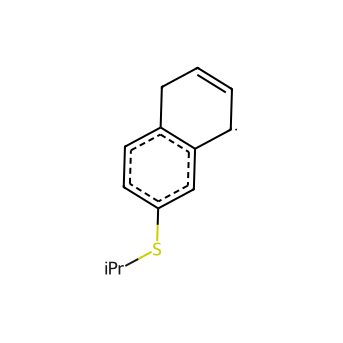 CC(C)Sc1ccc2c(c1)[CH]C=CC2